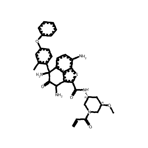 C=CC(=O)N1C[C@H](NC(=O)c2sc3c(N)ccc4c3c2C(N)C(=O)C4(N)c2ccc(Oc3ccccc3)cc2C)C[C@@H](OC)C1